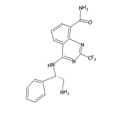 NC[C@@H](Nc1nc(C(F)(F)F)nc2c(C(N)=O)cccc12)c1ccccc1